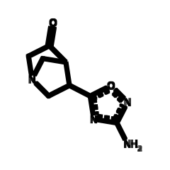 Nc1noc(C2CN3CC(=O)C2C3)n1